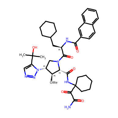 CO[C@@H]1[C@@H](C(=O)NC2(C(=O)C(N)=O)CCCCC2)N(C(=O)[C@@H](CC2CCCCC2)NC(=O)c2ccc3ccccc3c2)C[C@H]1n1nncc1C(C)(C)O